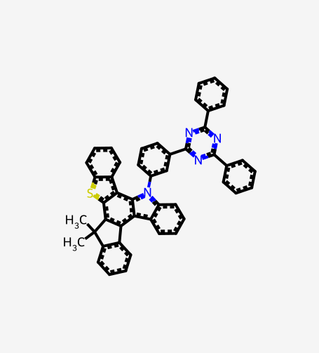 CC1(C)c2ccccc2-c2c1c1sc3ccccc3c1c1c2c2ccccc2n1-c1cccc(-c2nc(-c3ccccc3)nc(-c3ccccc3)n2)c1